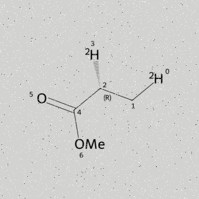 [2H]C[C@@H]([2H])C(=O)OC